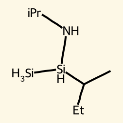 CCC(C)[SiH]([SiH3])NC(C)C